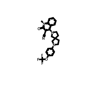 Cn1c(=O)c(C#N)c(N2CCC3(CCN(c4ccc(OC(F)(F)F)cc4)C3)C2)c2ccccc21